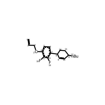 C=CCOc1ccc(C2C=CC(CCCC)CC2)c(F)c1F